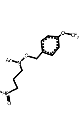 CC(=O)N(CCC[PH](=O)O)OCc1ccc(OC(F)(F)F)cc1